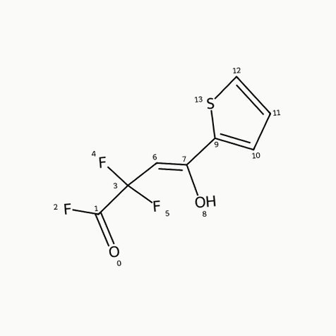 O=C(F)C(F)(F)C=C(O)c1cccs1